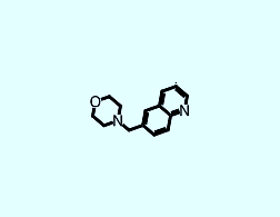 [c]1cnc2ccc(CN3CCOCC3)cc2c1